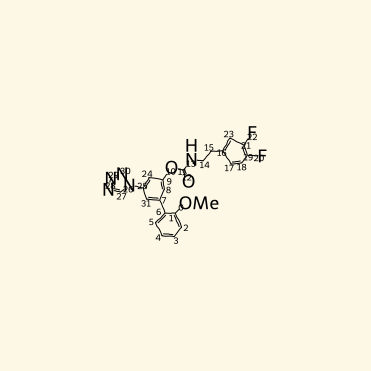 COc1ccccc1-c1cc(OC(=O)NCCc2ccc(F)c(F)c2)cc(-n2cnnn2)c1